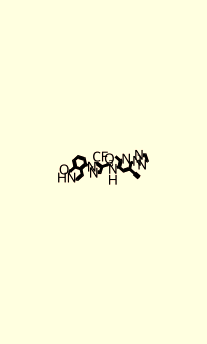 C#Cc1cc(NC(=O)c2cnn(-c3cccc4c(=O)[nH]ccc34)c2C(F)(F)F)c(C)nc1-n1nccn1